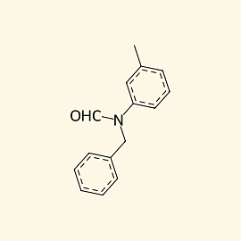 Cc1cccc(N(C=O)Cc2ccccc2)c1